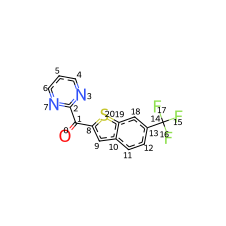 O=C(c1ncccn1)c1cc2ccc(C(F)(F)F)cc2s1